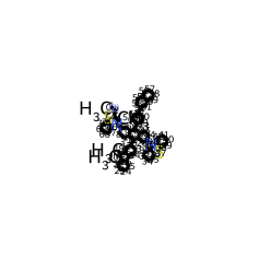 C/C=C\C1=C(C)N(c2ccc3c(-c4ccc5c(c4)C(C)(C)c4ccccc4-5)c4cc(N5c6ccccc6Sc6ccccc65)ccc4c(-c4ccc(-c5ccc6ccccc6c5)cc4)c3c2)c2ccccc2S1